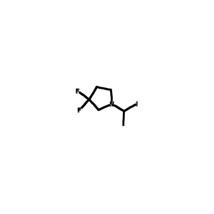 CC(I)N1CCC(F)(F)C1